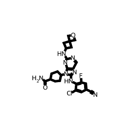 N#Cc1cc(F)c(Nc2nc3cnc(NC4CC5(COC5)C4)nc3n2C2CCC(C(N)=O)CC2)c(Cl)c1